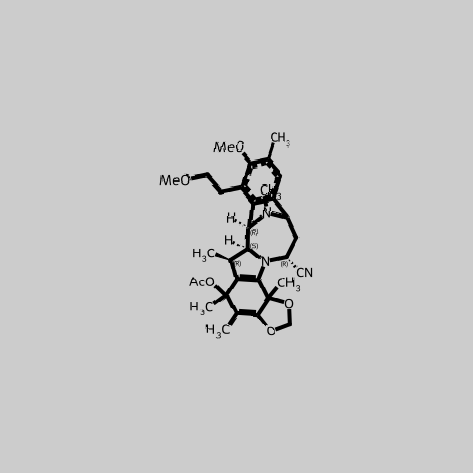 COCCc1c(OC)c(C)cc2c1[C@@H]1[C@@H]3[C@H](C)C4=C(N3[C@@H](C#N)CC2N1C)C1(C)OCOC1=C(C)C4(C)OC(C)=O